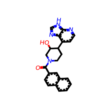 O=C(c1ccc2ccccc2c1)N1CCC(c2ccnc3[nH]cnc23)C(O)C1